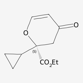 CCOC(=O)[C@@]1(C2CC2)CC(=O)C=CO1